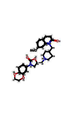 COc1ccc2ccc(=O)n(CC3CCN(C[C@@H]4CN(c5ccc6c(c5)OCCO6)C(=O)O4)CC3)c2c1